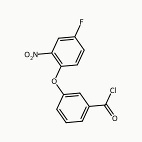 O=C(Cl)c1cccc(Oc2ccc(F)cc2[N+](=O)[O-])c1